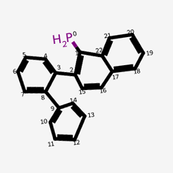 Pc1c(-c2ccccc2-c2ccccc2)ccc2ccccc12